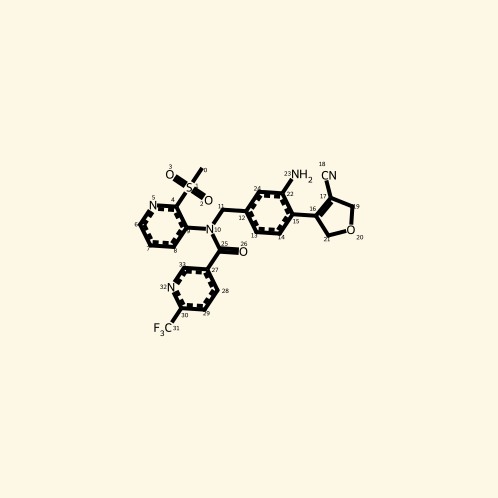 CS(=O)(=O)c1ncccc1N(Cc1ccc(C2=C(C#N)COC2)c(N)c1)C(=O)c1ccc(C(F)(F)F)nc1